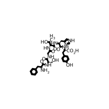 C[C@@H](O)[C@H](NC(=O)CNC(=O)[C@H](CO)NC(=O)[C@@H](N)Cc1ccccc1)C(=O)N[C@@H](Cc1c[nH]cn1)C(=O)N[C@@H](Cc1ccc(O)cc1)C(=O)O